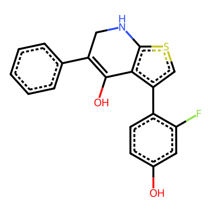 OC1=C(c2ccccc2)CNc2scc(-c3ccc(O)cc3F)c21